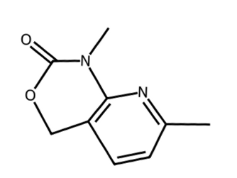 Cc1ccc2c(n1)N(C)C(=O)OC2